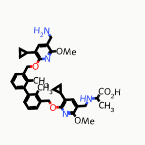 COc1nc(OCc2cccc(-c3cccc(COc4nc(OC)c(CNC(C)C(=O)O)cc4C4CC4)c3C)c2C)c(C2CC2)cc1CN